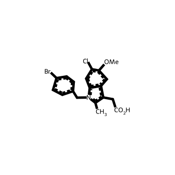 COc1cc2c(CC(=O)O)c(C)n(Cc3ccc(Br)cc3)c2cc1Cl